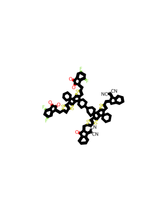 N#CC(C#N)=C1/C(=C/c2cc3c(s2)C2=C(c4sc5cc(/C=C6/C(=O)c7ccccc7C6=C(C#N)C#N)sc5c4C24CCC(C2CCC5(CC2)C2=C(c6sc(/C=C7\C(=O)C(=O)c8cc(F)cc(F)c87)cc65)C5(CCCCC5)c5c2sc2cc(/C=C6\C(=O)C(=O)c7c(F)cc(F)cc76)sc52)CC4)C32CCCCC2)Cc2ccccc21